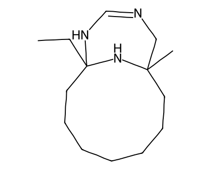 CCC12CCCCCCCC(C)(CN=CN1)N2